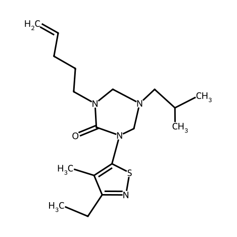 C=CCCCN1CN(CC(C)C)CN(c2snc(CC)c2C)C1=O